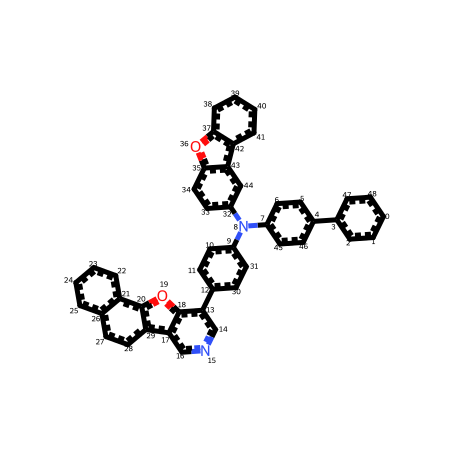 c1ccc(-c2ccc(N(c3ccc(-c4cncc5c4oc4c6ccccc6ccc54)cc3)c3ccc4oc5ccccc5c4c3)cc2)cc1